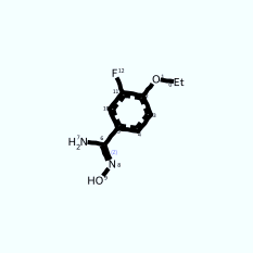 CCOc1ccc(/C(N)=N/O)cc1F